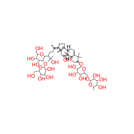 CC1OC(OCC2OC(O[C@H]3CC[C@@H]4C(=CC[C@@H]5[C@@]4(C)[C@H](O)C[C@]4(C)[C@@H]([C@H](C)CCC(C6OC(CO)C(O)C(O)C6OC6OC(CO)C(O)C(O)C6O)C(C)(C)O)CC[C@@]54C)C3(C)C)C(O)C(O)C2O)C(O)C(O)C1O